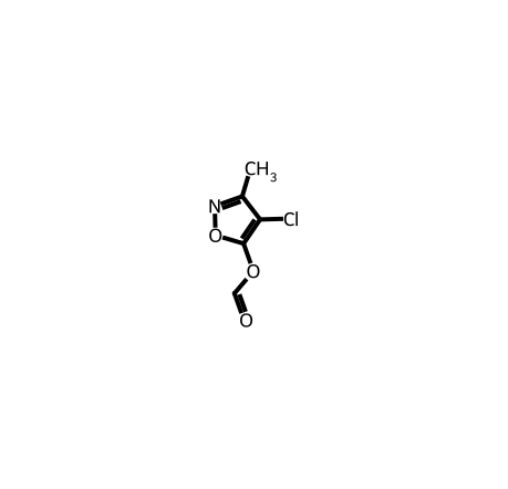 Cc1noc(OC=O)c1Cl